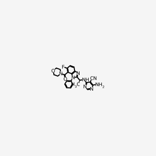 C[C@H](Nc1ncnc(N)c1C#N)c1nc2ccc(F)c(C(=O)N3CCOCC3)c2n1-c1ccccc1